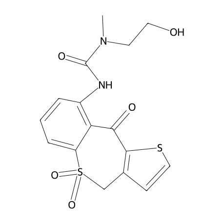 CN(CCO)C(=O)Nc1cccc2c1C(=O)c1sccc1CS2(=O)=O